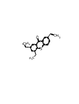 C=Cc1ccc2sc3c(CC)cc(CC)cc3c(=O)c2c1